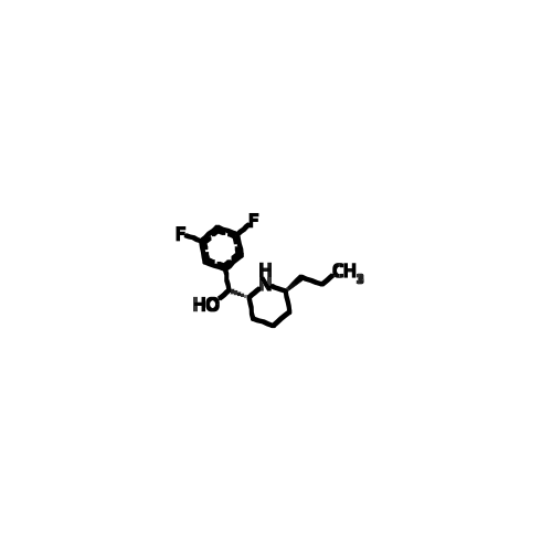 CCC[C@H]1CCC[C@H](C(O)c2cc(F)cc(F)c2)N1